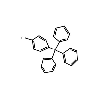 Oc1cc[c]([Sn]([c]2ccccc2)([c]2ccccc2)[c]2ccccc2)cc1